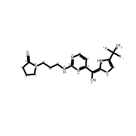 N#CC(=C1NC(C(F)(F)C(F)(F)F)=CS1)c1ccnc(NCCCN2CCCC2=O)n1